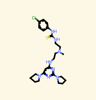 CN(CCNC(=S)Nc1ccc(Cl)cc1)CCNc1cc(N2CCCC2)nc(N2CCCC2)n1